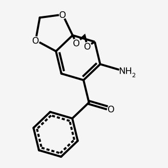 NC1=C(C(=O)c2ccccc2)C=C2OCOC23OCOC13